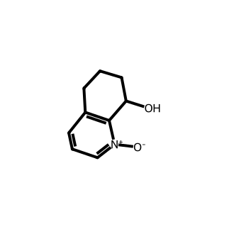 [O-][n+]1cccc2c1C(O)CCC2